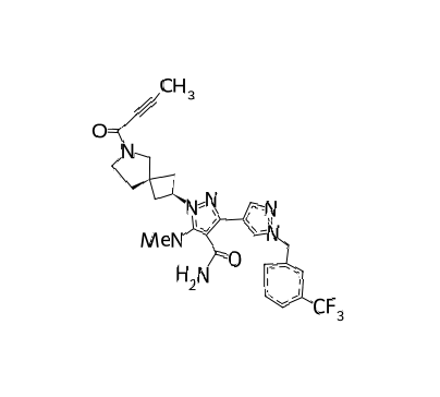 CC#CC(=O)N1CC[C@]2(C1)C[C@H](n1nc(-c3cnn(Cc4cccc(C(F)(F)F)c4)c3)c(C(N)=O)c1NC)C2